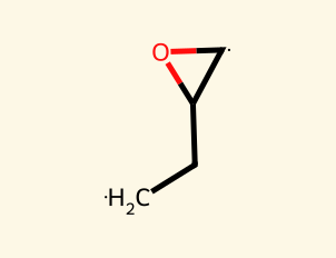 [CH2]CC1[CH]O1